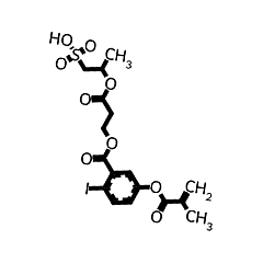 C=C(C)C(=O)Oc1ccc(I)c(C(=O)OCCC(=O)OC(C)CS(=O)(=O)O)c1